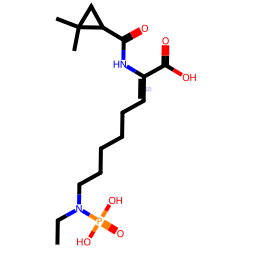 CCN(CCCCC/C=C(\NC(=O)C1CC1(C)C)C(=O)O)P(=O)(O)O